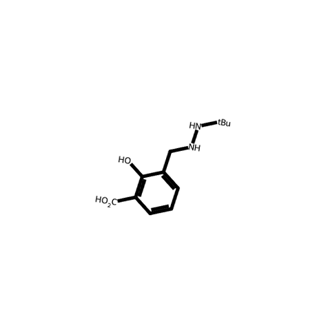 CC(C)(C)NNCc1cccc(C(=O)O)c1O